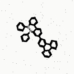 c1ccc(B2c3ccccc3-c3ccc(-c4ccc5c6ccccc6c6ccccc6c5c4)cc3N2c2ccccc2)cc1